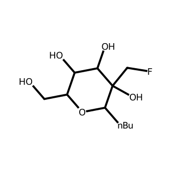 CCCCC1OC(CO)C(O)C(O)C1(O)CF